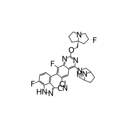 N#Cc1n[nH]c2c(F)ccc(-c3c(Cl)cc4c(N5CC6CCC(C5)N6)nc(OC[C@@]56CCCN5C[C@H](F)C6)nc4c3F)c12